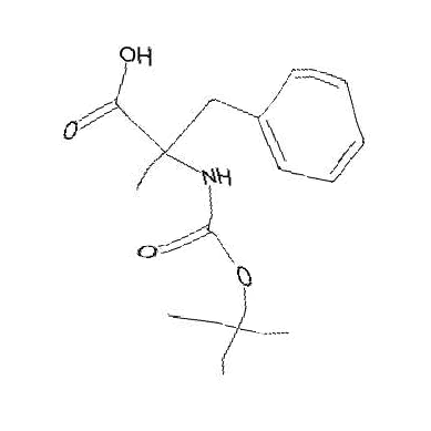 CC(C)(C)OC(=O)NC(C)(Cc1ccccc1)C(=O)O